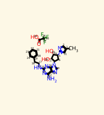 Cc1cnn([C@H]2C[C@@H](n3cnc4c(N)nc(NCCc5ccccc5)nc43)[C@H](O)[C@@H]2O)c1.O=C(O)C(F)(F)F